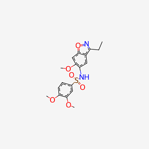 CCc1noc2cc(OC)c(NS(=O)(=O)c3ccc(OC)c(OC)c3)cc12